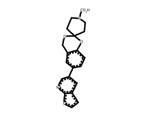 O=C(O)N1CCC2(CC1)OCc1cc(-c3cnc4sccc4c3)ccc1O2